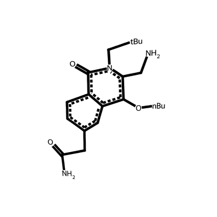 CCCCOc1c(CN)n(CC(C)(C)C)c(=O)c2ccc(CC(N)=O)cc12